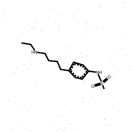 CCNCCCCc1ccc(NS(C)(=O)=O)cc1